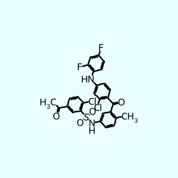 CC(=O)c1ccc(Cl)c(S(=O)(=O)Nc2ccc(C)c(C(=O)c3ccc(Nc4ccc(F)cc4F)cc3Cl)c2)c1